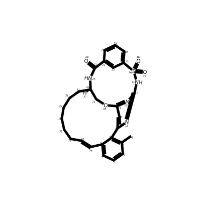 Cc1cccc2c1-c1cc3nc(n1)NS(=O)(=O)c1cccc(c1)C(=O)N[C@H](CCCCCC/C=C/2)CO3